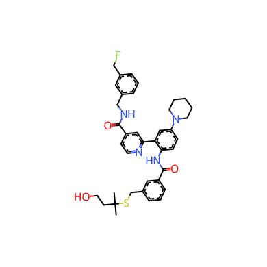 CC(C)(CCO)SCc1cccc(C(=O)Nc2ccc(N3CCCCC3)cc2-c2cc(C(=O)NCc3cccc(CF)c3)ccn2)c1